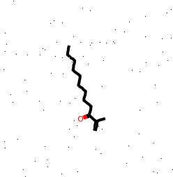 C=C(C)C(=O)CCCCCCCCC